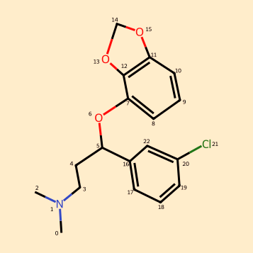 CN(C)CCC(Oc1cccc2c1OCO2)c1cccc(Cl)c1